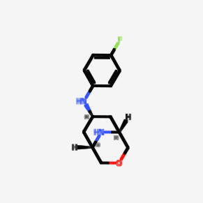 Fc1ccc(N[C@@H]2C[C@H]3COC[C@@H](C2)N3)cc1